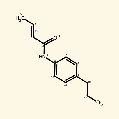 C/C=C/C(=O)Nc1ccc(CC[O])cc1